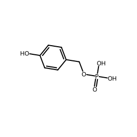 O=P(O)(O)OCc1ccc(O)cc1